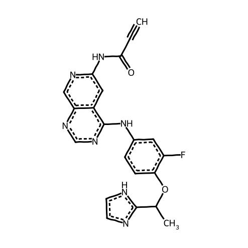 C#CC(=O)Nc1cc2c(Nc3ccc(OC(C)c4ncc[nH]4)c(F)c3)ncnc2cn1